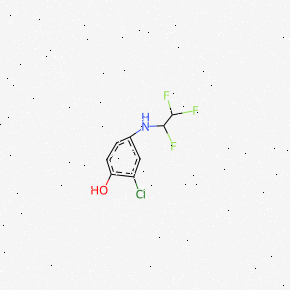 Oc1ccc(NC(F)C(F)F)cc1Cl